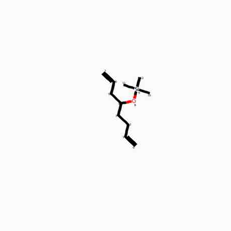 C=CCCC(CC=C)O[Si](C)(C)C